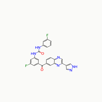 O=C(Nc1cccc(F)c1)Nc1cc(F)cc(C(=O)c2ccc3ncc(-c4cn[nH]c4)nc3c2)c1